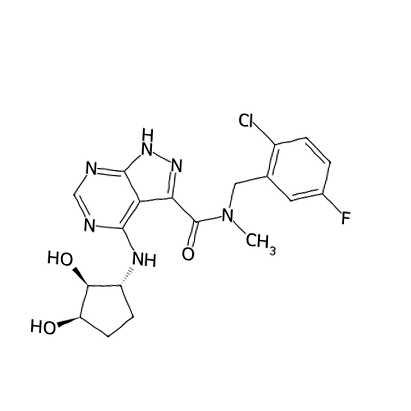 CN(Cc1cc(F)ccc1Cl)C(=O)c1n[nH]c2ncnc(N[C@@H]3CC[C@@H](O)[C@H]3O)c12